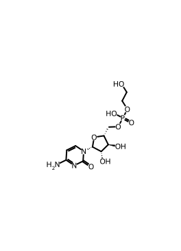 Nc1ccn([C@@H]2O[C@H](COP(=O)(O)OCCO)[C@@H](O)[C@@H]2O)c(=O)n1